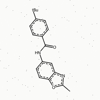 Cc1nc2cc(NC(=O)c3ccc(C(C)(C)C)cc3)ccc2o1